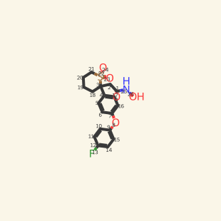 O=C(CC1(c2ccc(Oc3ccc(F)cc3)cc2)CCCCS1(=O)=O)NO